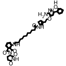 Nc1nnc(-c2ccccc2O)cc1OCCC1CC2(NC(=O)CCCCCCCCCCNc3cccc4c3C(=O)N(C3CCC(=O)NC3=O)C4=O)CC1C2